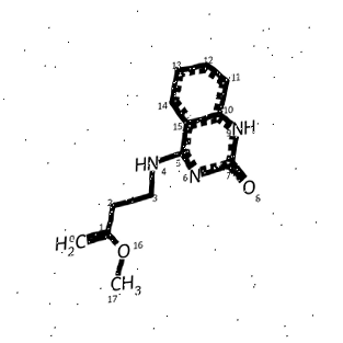 C=C(CCNc1nc(=O)[nH]c2ccccc12)OC